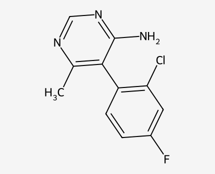 Cc1ncnc(N)c1-c1ccc(F)cc1Cl